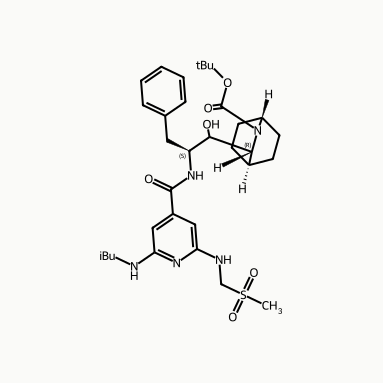 CCC(C)Nc1cc(C(=O)N[C@@H](Cc2ccccc2)C(O)[C@H]2[C@H]3CC[C@@H](CC3)N2C(=O)OC(C)(C)C)cc(NCS(C)(=O)=O)n1